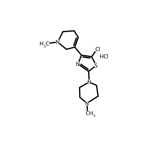 CN1CCN(c2nc(C3=CCCN(C)C3)c(Cl)s2)CC1.Cl